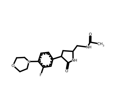 CC(=O)NCC1CC(c2ccc(N3CCOCC3)c(F)c2)C(=O)N1